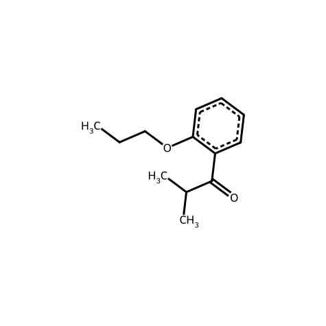 CCCOc1ccccc1C(=O)C(C)C